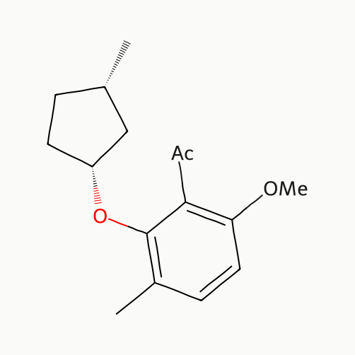 COc1ccc(C)c(O[C@@H]2CC[C@H](C)C2)c1C(C)=O